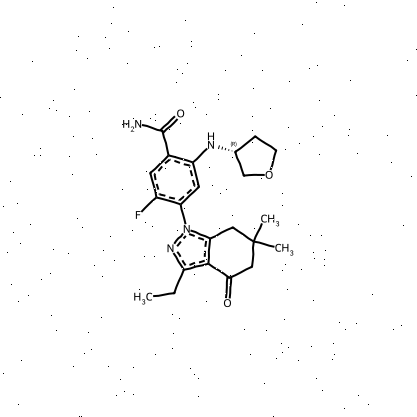 CCc1nn(-c2cc(N[C@@H]3CCOC3)c(C(N)=O)cc2F)c2c1C(=O)CC(C)(C)C2